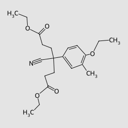 CCOC(=O)CCC(C#N)(CCC(=O)OCC)c1ccc(OCC)c(C)c1